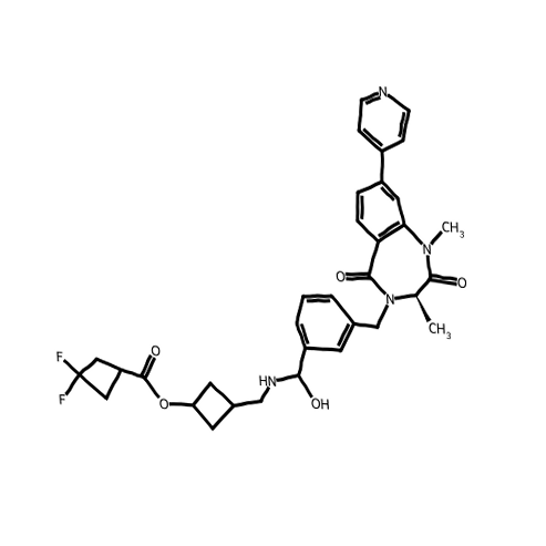 C[C@@H]1C(=O)N(C)c2cc(-c3ccncc3)ccc2C(=O)N1Cc1cccc(C(O)NCC2CC(OC(=O)C3CC(F)(F)C3)C2)c1